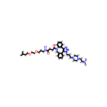 CC(C)CCOCCOCCCNC(=O)CCC(=O)N1Cc2ccccc2-c2c(nnn2CCCN2CCN(CCN(C)C)CC2)-c2ccccc21